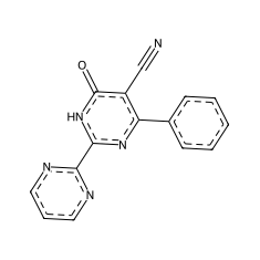 N#Cc1c(-c2ccccc2)nc(-c2ncccn2)[nH]c1=O